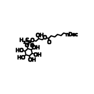 CCCCCCCCCCCCCCCC(=O)OCC(O)COP(C)(=O)OC1C(O)C(O)C(O)C(O)C1O